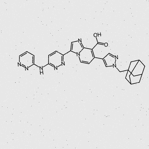 O=C(O)c1c(-c2cnn(CC34CC5CC(CC(C5)C3)C4)c2)ccn2c(-c3ccc(Nc4cccnn4)nn3)cnc12